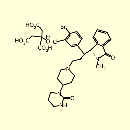 CN1C(=O)c2ccccc2[C@H]1[C@@H](CCN1CCC(N2CCCNC2=O)CC1)c1ccc(Br)c(Cl)c1.O=C(O)CC(O)(CC(=O)O)C(=O)O